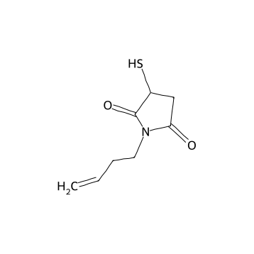 C=CCCN1C(=O)CC(S)C1=O